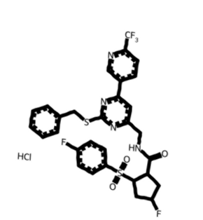 Cl.O=C(NCc1cc(-c2ccc(C(F)(F)F)nc2)nc(SCc2ccccc2)n1)C1CC(F)CC1S(=O)(=O)c1ccc(F)cc1